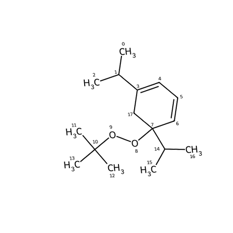 CC(C)C1=CC=CC(OOC(C)(C)C)(C(C)C)C1